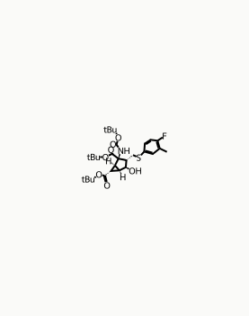 Cc1cc(SC[C@@H]2[C@@H](O)[C@H]3[C@H](C(=O)OC(C)(C)C)[C@H]3[C@]2(NC(=O)OC(C)(C)C)C(=O)OC(C)(C)C)ccc1F